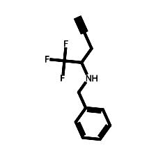 C#CCC(NCc1ccccc1)C(F)(F)F